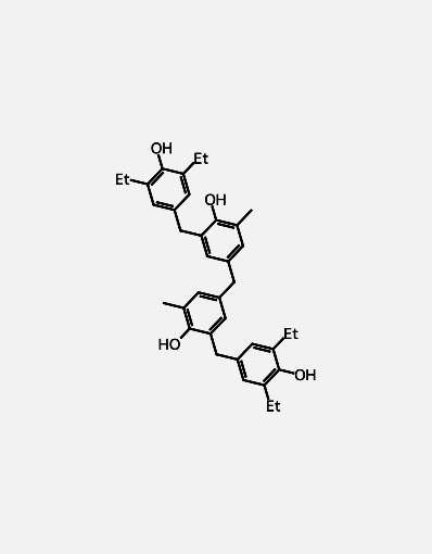 CCc1cc(Cc2cc(Cc3cc(C)c(O)c(Cc4cc(CC)c(O)c(CC)c4)c3)cc(C)c2O)cc(CC)c1O